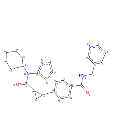 O=C(NCc1cccnc1)c1ccc(C2CC2C(=O)N(c2nccs2)C2CCCCC2)cc1